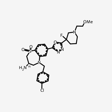 COCCN1CCCC(F)(c2nnc(-c3ccc4c(c3)N(Cc3ccc(Cl)cc3)C[C@@H](N)CS4(=O)=O)o2)C1